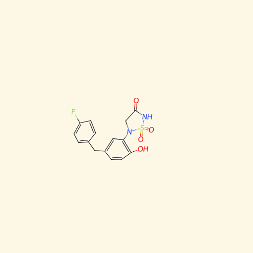 O=C1CN(c2cc(Cc3ccc(F)cc3)ccc2O)S(=O)(=O)N1